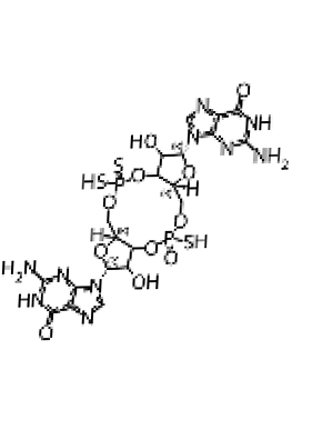 Nc1nc2c(ncn2[C@@H]2O[C@@H]3COP(=S)(S)OC4C(O)[C@H](n5cnc6c(=O)[nH]c(N)nc65)O[C@@H]4COP(=O)(S)OC3C2O)c(=O)[nH]1